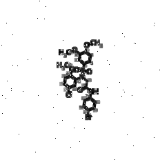 COc1ccc(S(=O)(=O)N(CC(=O)Nc2ccc(Br)cc2)c2cc(Cl)ccc2OC)cc1OC